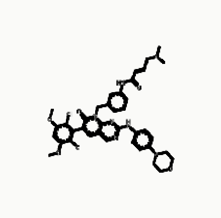 COc1cc(OC)c(Cl)c(-c2cc3cnc(Nc4ccc(N5CCOCC5)cc4)nc3n(Cc3cccc(NC(=O)/C=C/CN(C)C)c3)c2=O)c1Cl